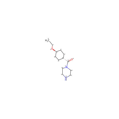 CCO[C@H]1CC[C@H](C(=O)N2CCNCC2)CC1